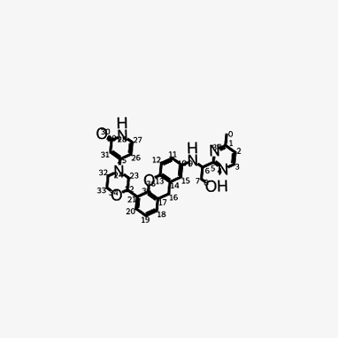 Cc1ccnc(C(CO)Nc2ccc3c(c2)Cc2cccc(C4CN(c5cc[nH]c(=O)c5)CCO4)c2O3)n1